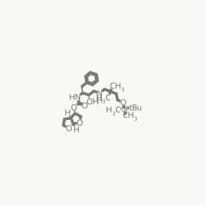 CC(C)(CCO[Si](C)(C)C(C)(C)C)CNC[C@H](O)[C@H](Cc1ccccc1)NC(=O)O[C@H]1CO[C@H]2OCC[C@H]21